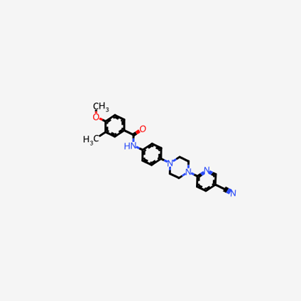 COc1ccc(C(=O)Nc2ccc(N3CCN(c4ccc(C#N)cn4)CC3)cc2)cc1C